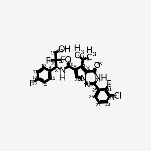 CC(C)c1c(C(=O)N[C@@H](c2ccc(F)cc2)C(F)(F)CO)cn2nc(-c3cccc(Cl)c3F)[nH]c(=O)c12